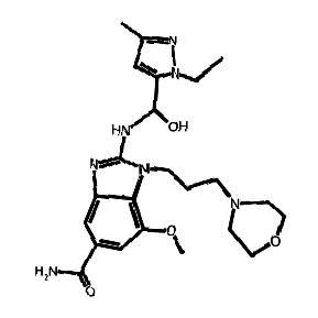 CCn1nc(C)cc1C(O)Nc1nc2cc(C(N)=O)cc(OC)c2n1CCCN1CCOCC1